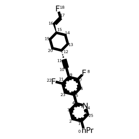 CCCc1ccc(-c2cc(F)c(C#C[C@H]3CC[C@H](C=CF)CC3)c(F)c2)nc1